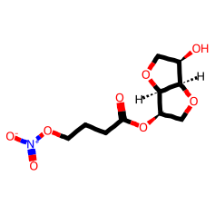 O=C(CCCO[N+](=O)[O-])O[C@@H]1CO[C@H]2[C@@H]1OC[C@H]2O